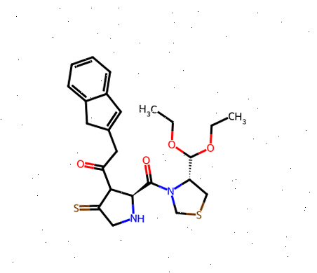 CCOC(OCC)[C@@H]1CSCN1C(=O)[C@H]1NCC(=S)C1C(=O)CC1=Cc2ccccc2C1